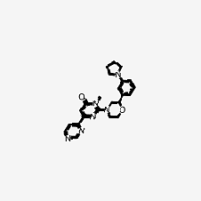 Cn1c(N2CCOC(c3cccc(N4CCCC4)c3)C2)nc(-c2ccncn2)cc1=O